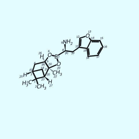 CC1(C)[C@@H]2C[C@H]3OB([C@@H](N)Cc4coc5ccccc45)O[C@@]3(C)[C@H]1C2